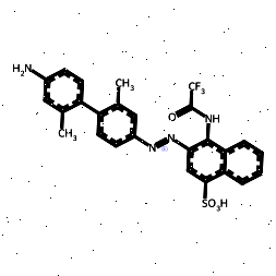 Cc1cc(N)ccc1-c1ccc(/N=N/c2cc(S(=O)(=O)O)c3ccccc3c2NC(=O)C(F)(F)F)cc1C